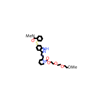 CNC(=O)c1ccccc1Sc1ccc2c(/C=C/c3cccc[n+]3C(=O)OCCOCCOCCOC)n[nH]c2c1